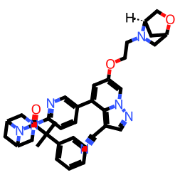 CC(C)(C(=O)N1C2CC1CN(c1ccc(-c3cc(OCCN4CC5C[C@@H]4CO5)cn4ncc(C#N)c34)cn1)C2)c1ccccc1